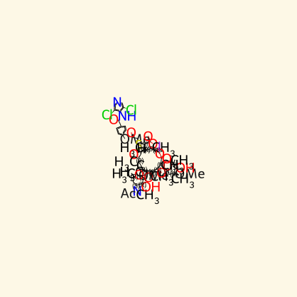 COc1ccc(C(=O)Nc2c(Cl)cncc2Cl)cc1OCCS[C@@H]1C(=O)O[C@@]2(C)[C@H]1[C@@H](C)C(=O)[C@H](C)C[C@@](C)(OC)[C@H](O[C@@H]1O[C@H](C)C[C@H](N(C)C(C)=O)[C@H]1O)[C@@H](C)[C@H](O[C@H]1C[C@@](C)(OC)[C@@H](O)[C@H](C)O1)[C@@H](C)C(=O)O[C@@H]2I